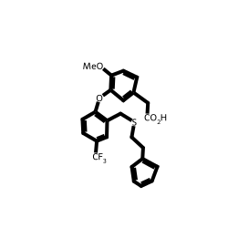 COc1ccc(CC(=O)O)cc1Oc1ccc(C(F)(F)F)cc1CSCCc1ccccc1